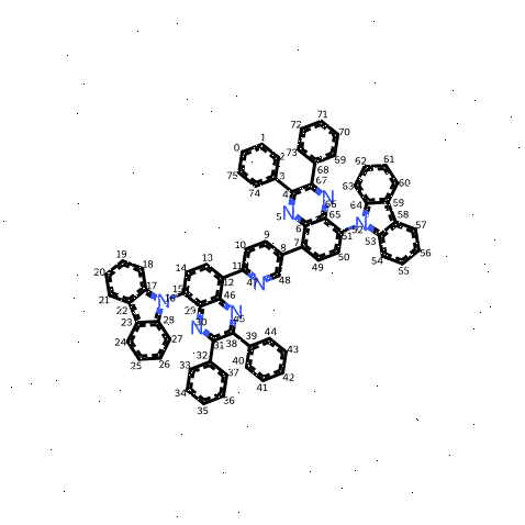 c1ccc(-c2nc3c(-c4ccc(-c5ccc(-n6c7ccccc7c7ccccc76)c6nc(-c7ccccc7)c(-c7ccccc7)nc56)nc4)ccc(-n4c5ccccc5c5ccccc54)c3nc2-c2ccccc2)cc1